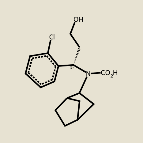 O=C(O)N(C1CC2CCC1C2)[C@@H](CCO)c1ccccc1Cl